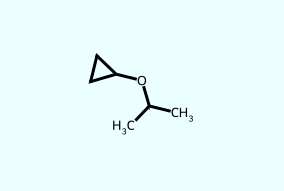 C[C](C)OC1CC1